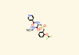 N#CCNC(=O)[C@H](CS(=O)(=O)Cc1ccccc1OC(F)F)NC(=O)c1ccncc1